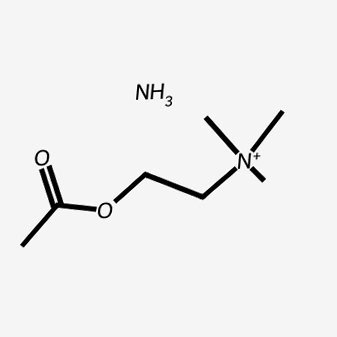 CC(=O)OCC[N+](C)(C)C.N